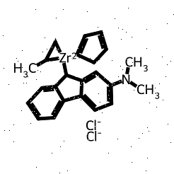 C[CH]1[CH2][Zr+2]1([C]1=CC=CC1)[CH]1c2ccccc2-c2ccc(N(C)C)cc21.[Cl-].[Cl-]